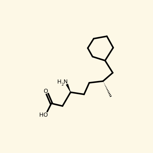 C[C@H](CC[C@H](N)CC(=O)O)CC1CCCCC1